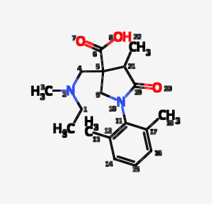 CCN(C)CC1(C(=O)O)CN(c2c(C)cccc2C)C(=O)C1C